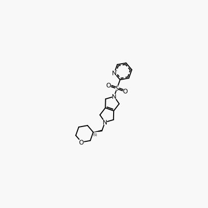 O=S(=O)(c1ccccn1)N1CC2=C(CN(C[C@@H]3CCCOC3)C2)C1